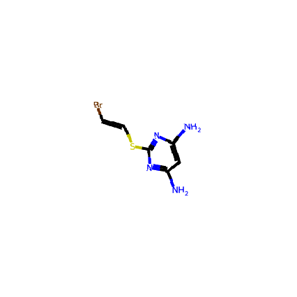 Nc1cc(N)nc(S/C=C/Br)n1